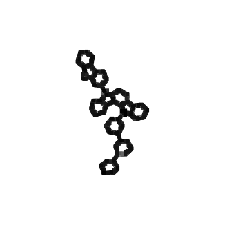 c1ccc(-c2cccc(-c3cccc(-n4c5ccccc5c5ccc6c(c7ccccc7n6-c6ccc7c(c6)oc6ccccc67)c54)c3)c2)cc1